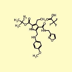 CCc1c(C(=O)OC(C)(C)C)[nH]c(CNc2ccc(OC)cc2)c1C(=O)NCc1ccon1.O=C(O)C(F)(F)F